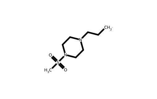 [CH2]CCN1CCN(S(C)(=O)=O)CC1